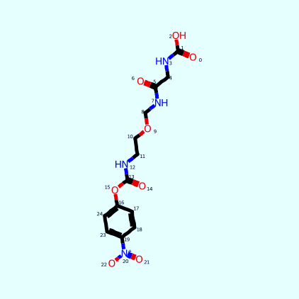 O=C(O)NCC(=O)NCOCCNC(=O)Oc1ccc([N+](=O)[O-])cc1